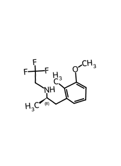 COc1cccc(C[C@@H](C)NCC(F)(F)F)c1C